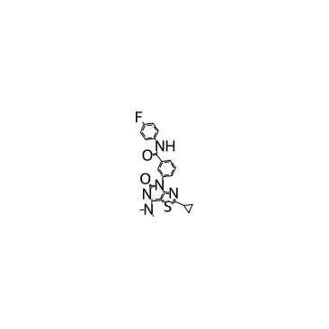 CN(C)c1nc(=O)n(-c2cccc(C(=O)Nc3ccc(F)cc3)c2)c2nc(C3CC3)sc12